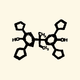 CCC(C)(c1cc(C2CCCC2)c(O)c(C2CCCC2)c1)c1cc(C2CCCC2)c(O)c(C2CCCC2)c1